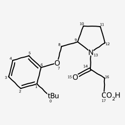 CC(C)(C)c1ccccc1OCC1CCCN1C(=O)CC(=O)O